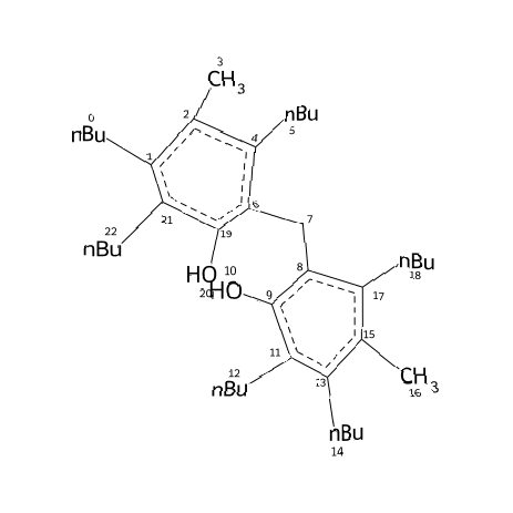 CCCCc1c(C)c(CCCC)c(Cc2c(O)c(CCCC)c(CCCC)c(C)c2CCCC)c(O)c1CCCC